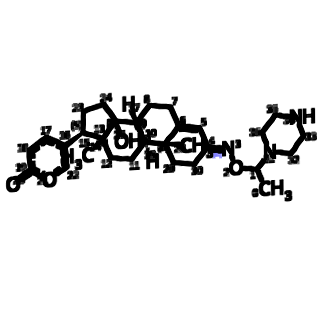 CC(O/N=C1/C=C2CC[C@@H]3[C@H](CC[C@]4(C)[C@@H](c5ccc(=O)oc5)CC[C@]34O)[C@@]2(C)CC1)N1CCNCC1